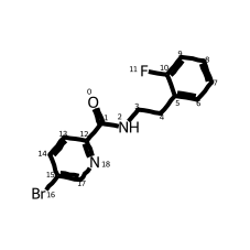 O=C(NCCc1ccccc1F)c1ccc(Br)cn1